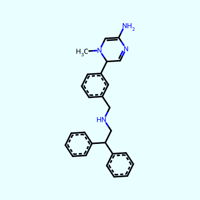 CN1C=C(N)N=CC1c1cccc(CNCC(c2ccccc2)c2ccccc2)c1